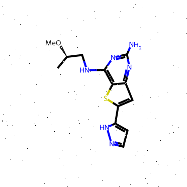 CO[C@H](C)CNc1nc(N)nc2cc(-c3ccn[nH]3)sc12